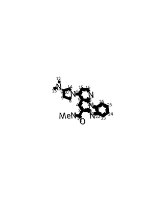 CNC(=O)c1cc2c(N3CC[C@H](N(C)C)C3)ccnc2n2c1nc1ccccc12